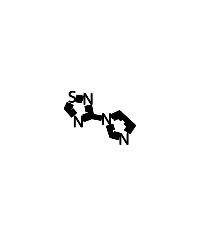 c1cn(-c2ncsn2)cn1